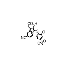 Cc1c(CC(=O)O)c2cc(C#N)ccn2c1Sc1ccc(S(C)(=O)=O)cc1Cl